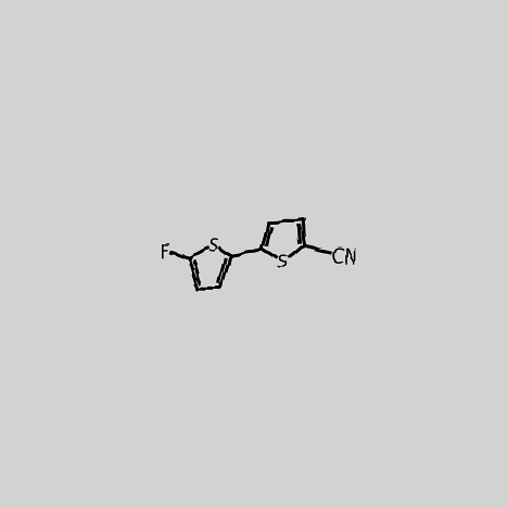 N#Cc1ccc(-c2ccc(F)s2)s1